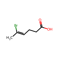 CC(Br)=CCCC(=O)O